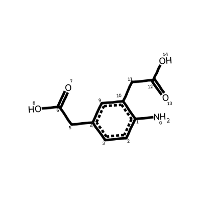 Nc1ccc(CC(=O)O)cc1CC(=O)O